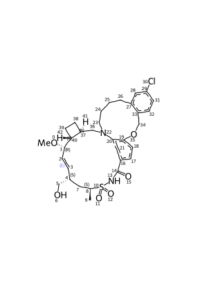 CO[C@H]1/C=C/[C@@H](CO)C[C@H](C)S(=O)(=O)NC(=O)c2ccc3c(c2)N(CCCCc2cc(Cl)ccc2CO3)C[C@@H]2CC[C@H]21